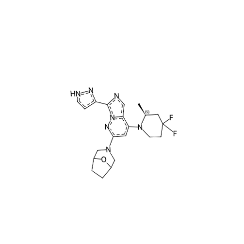 C[C@H]1CC(F)(F)CCN1c1cc(N2CC3CCC(C2)O3)nn2c(-c3cc[nH]n3)ncc12